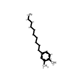 Cc1cc(CCCCCCCCCC(C)C)ccc1O